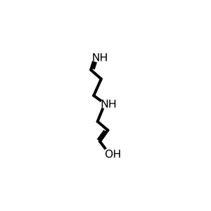 N=CCCNCC=CO